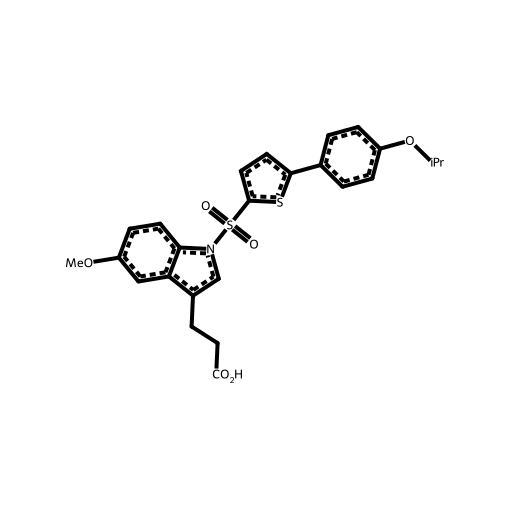 COc1ccc2c(c1)c(CCC(=O)O)cn2S(=O)(=O)c1ccc(-c2ccc(OC(C)C)cc2)s1